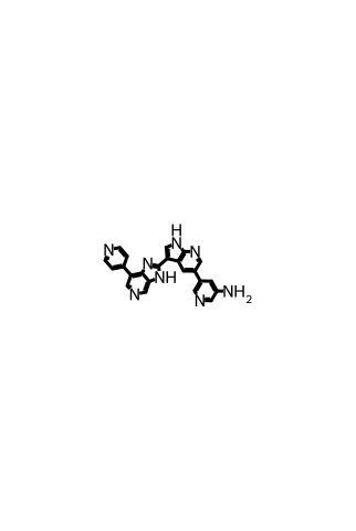 Nc1cncc(-c2cnc3[nH]cc(-c4nc5c(-c6ccncc6)cncc5[nH]4)c3c2)c1